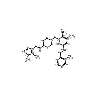 Cc1c(CNC2CCC(Cc3nc(NCc4cnccc4C(F)(F)F)nc(N)c3[N+](=O)[O-])CC2)cnn1C